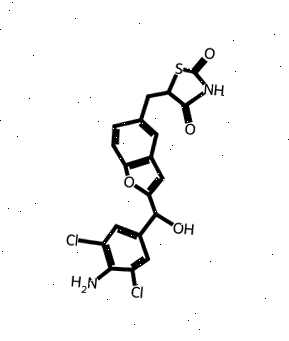 Nc1c(Cl)cc(C(O)c2cc3cc(CC4SC(=O)NC4=O)ccc3o2)cc1Cl